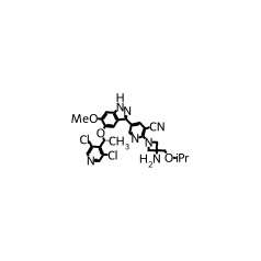 COc1cc2[nH]nc(-c3cnc(N4CC(N)(COC(C)C)C4)c(C#N)c3)c2cc1O[C@H](C)c1c(Cl)cncc1Cl